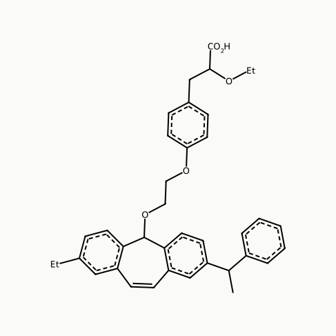 CCOC(Cc1ccc(OCCOC2c3ccc(CC)cc3C=Cc3cc(C(C)c4ccccc4)ccc32)cc1)C(=O)O